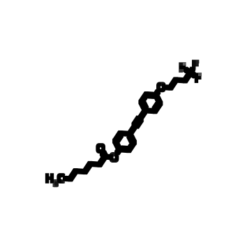 CCCCCCC(=O)Oc1ccc(C#Cc2ccc(OCCCC(F)(F)F)cc2)cc1